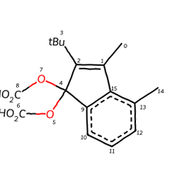 CC1=C(C(C)(C)C)C(OC(=O)O)(OC(=O)O)c2cccc(C)c21